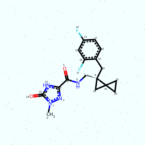 Cn1nc(C(=O)NC[C@@]2(Cc3ccc(F)cc3F)CC23CC3)[nH]c1=O